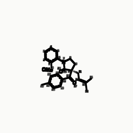 COc1ccccc1N1CC[C@@](CC=C(C)C)(C(=O)c2ccc(C)cc2)C1=O